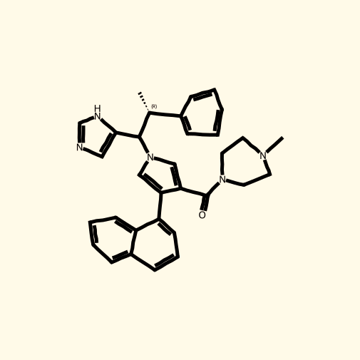 C[C@H](c1ccccc1)C(c1cnc[nH]1)n1cc(C(=O)N2CCN(C)CC2)c(-c2cccc3ccccc23)c1